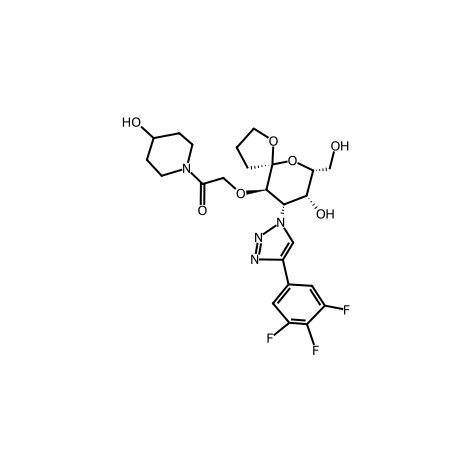 O=C(CO[C@@H]1[C@@H](n2cc(-c3cc(F)c(F)c(F)c3)nn2)[C@@H](O)[C@@H](CO)O[C@@]12CCCO2)N1CCC(O)CC1